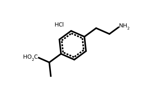 CC(C(=O)O)c1ccc(CCN)cc1.Cl